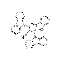 N#Cc1c(-n2c3ccccc3c3ccccc32)cc2c(oc3ccccc32)c1-n1c2ccccc2c2ccccc21